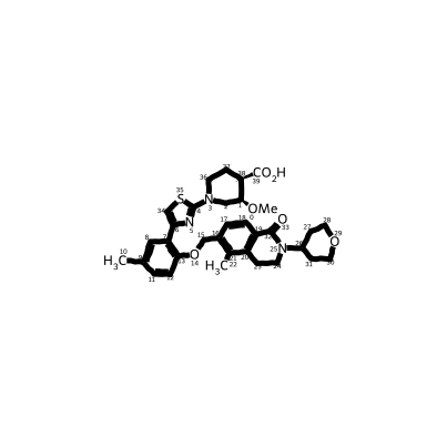 CO[C@H]1CN(c2nc(-c3cc(C)ccc3OCc3ccc4c(c3C)CCN(C3CCOCC3)C4=O)cs2)CC[C@H]1C(=O)O